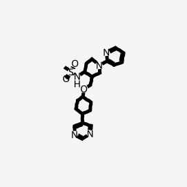 CS(=O)(=O)NC1CCN(c2ccccn2)CC1COC1CCC(c2cncnc2)CC1